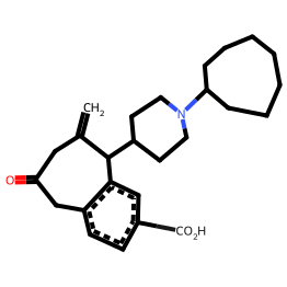 C=C1CC(=O)Cc2ccc(C(=O)O)cc2C1C1CCN(C2CCCCCCC2)CC1